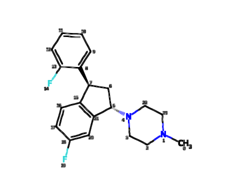 CN1CCN([C@H]2C[C@H](c3ccccc3F)c3ccc(F)cc32)CC1